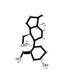 CC1CCC2[C@H](CO)C([C@@]3(C)CC[C@H](O)C/C3=C\O)CC[C@]12C